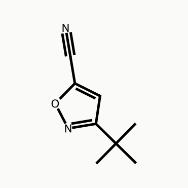 CC(C)(C)c1cc(C#N)on1